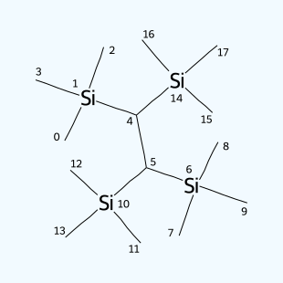 C[Si](C)(C)C(C([Si](C)(C)C)[Si](C)(C)C)[Si](C)(C)C